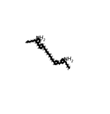 CCCCCCc1cc(Cc2ccc(CCCCCCCCCCCCc3ccc(Cc4ccc(N)c(CCCCCC)c4)cc3)cc2)ccc1N